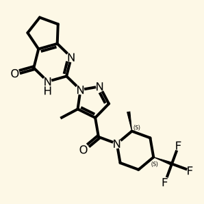 Cc1c(C(=O)N2CC[C@H](C(F)(F)F)C[C@@H]2C)cnn1-c1nc2c(c(=O)[nH]1)CCC2